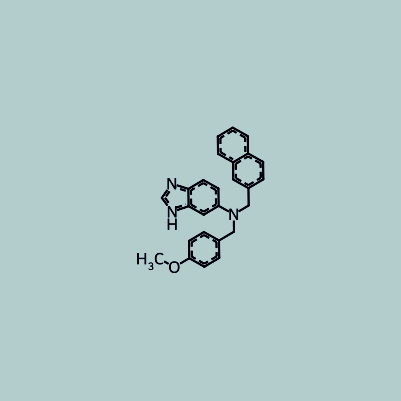 COc1ccc(CN(Cc2ccc3ccccc3c2)c2ccc3nc[nH]c3c2)cc1